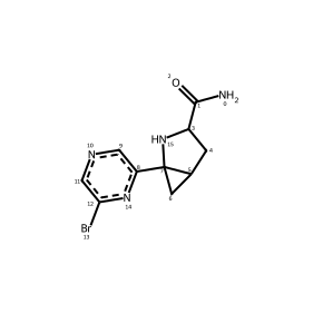 NC(=O)C1CC2CC2(c2cncc(Br)n2)N1